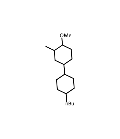 CCCCC1CCC(C2CCC(OC)C(C)C2)CC1